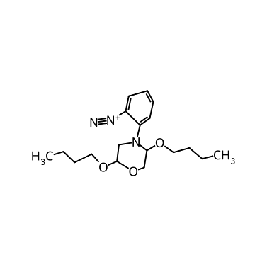 CCCCOC1CN(c2ccccc2[N+]#N)C(OCCCC)CO1